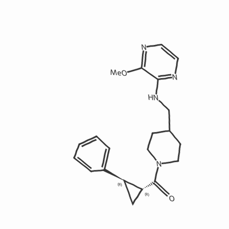 COc1nccnc1NCC1CCN(C(=O)[C@@H]2C[C@H]2c2ccccc2)CC1